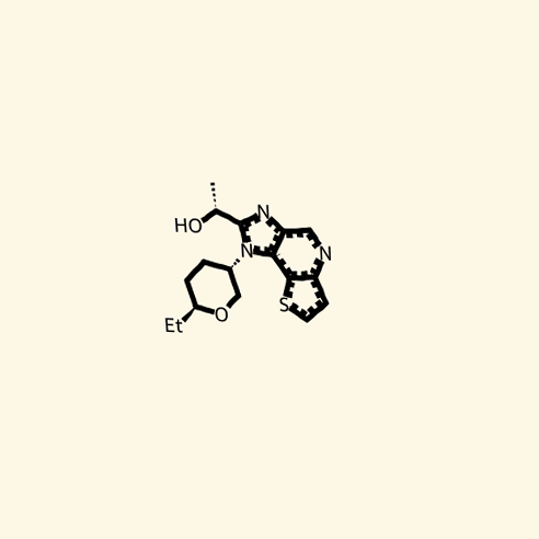 CC[C@H]1CC[C@H](n2c([C@@H](C)O)nc3cnc4ccsc4c32)CO1